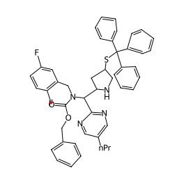 CCCc1cnc(C(C2CC(SC(c3ccccc3)(c3ccccc3)c3ccccc3)CN2)N(Cc2cc(F)ccc2F)C(=O)OCc2ccccc2)nc1